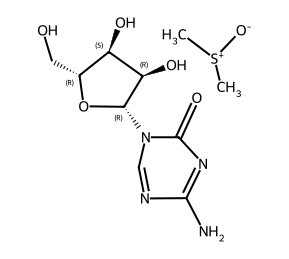 C[S+](C)[O-].Nc1ncn([C@@H]2O[C@H](CO)[C@@H](O)[C@H]2O)c(=O)n1